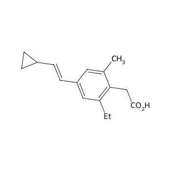 CCc1cc(C=CC2CC2)cc(C)c1CC(=O)O